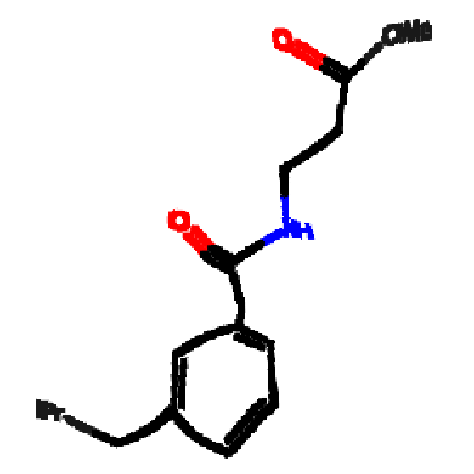 COC(=O)CCNC(=O)c1cccc(CC(C)C)c1